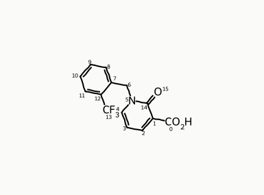 O=C(O)c1cccn(Cc2ccccc2C(F)(F)F)c1=O